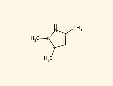 C[C]1C=C(C)NN1C